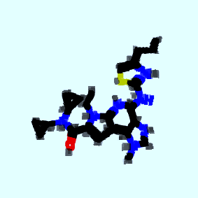 CCCc1csc(Nc2nc3c(cc(C(=O)N(C4CC4)C4CC4)n3CC)c3c2ncn3C)n1